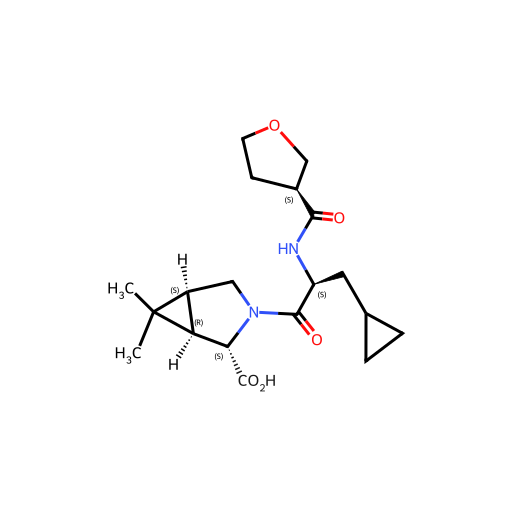 CC1(C)[C@@H]2[C@@H](C(=O)O)N(C(=O)[C@H](CC3CC3)NC(=O)[C@H]3CCOC3)C[C@@H]21